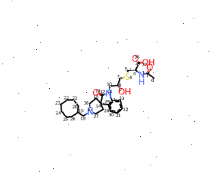 CC(=O)N[C@@H](CSCC(O)CN1C(=O)C2(CCN(CC3CCCCCCC3)CC2)c2ccccc21)C(=O)O